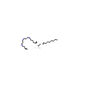 CCCCC/C=C\C/C=C\C/C=C\C/C=C\CCCC(=O)O[C@@H](CO)COC(=O)CCCCCCCCCCCCCCCCC